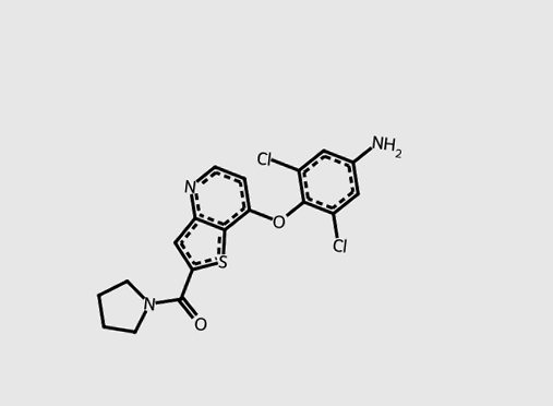 Nc1cc(Cl)c(Oc2ccnc3cc(C(=O)N4CCCC4)sc23)c(Cl)c1